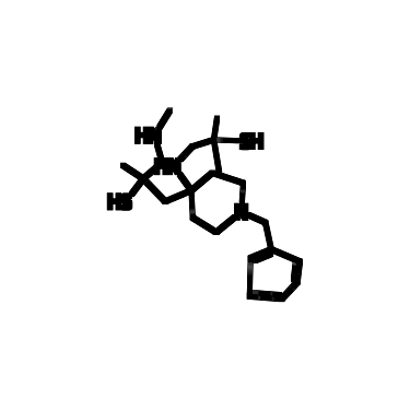 CNCC(C)(S)CC1(NCC(C)(C)S)CCN(Cc2ccccc2)CC1